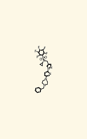 O=S(=O)(c1c(F)c(F)c(F)c(F)c1F)N(Cc1cnn(-c2ccc(N3CCN(Cc4ccccc4)CC3)cn2)c1)C1CC1